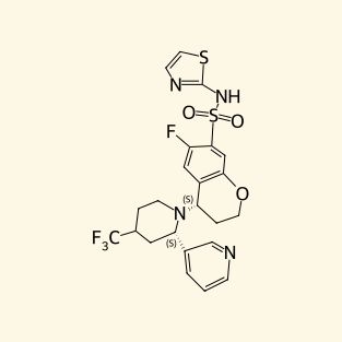 O=S(=O)(Nc1nccs1)c1cc2c(cc1F)[C@@H](N1CCC(C(F)(F)F)C[C@H]1c1cccnc1)CCO2